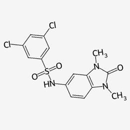 Cn1c(=O)n(C)c2cc(NS(=O)(=O)c3cc(Cl)cc(Cl)c3)ccc21